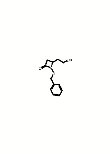 O=C1CC(CCO)N1OCc1ccccc1